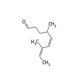 C/C=C(C)\C=C/C(C)CCC=O